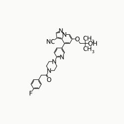 CC(C)(O)COc1cc(-c2ccc(N3CCN(C(=O)Cc4ccc(F)cc4)CC3)nc2)c2c(C#N)cnn2c1